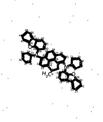 C[C@@H]1Cc2c(N(c3ccccc3)c3cccc4c3oc3ccccc34)ccc3ccc4c(N(c5ccccc5)c5cccc6c5oc5ccccc56)ccc1c4c23